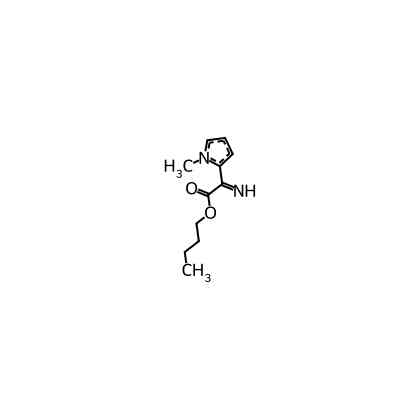 CCCCOC(=O)C(=N)c1cccn1C